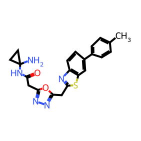 Cc1ccc(-c2ccc3nc(Cc4nnc(CC(=O)NC5(N)CC5)o4)sc3c2)cc1